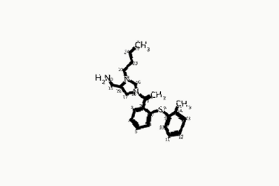 C=C(c1ccccc1Sc1ccccc1C)N1CC(CN)N(CCCC)C1